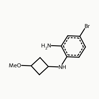 COC1CC(Nc2ccc(Br)cc2N)C1